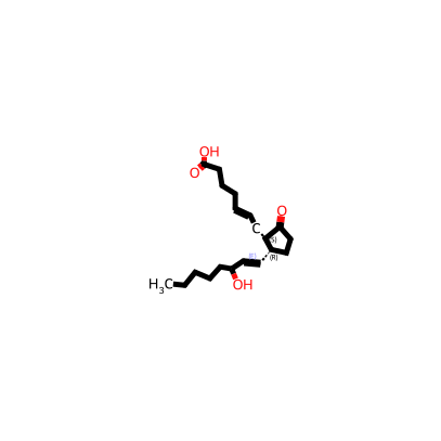 CCCCCC(O)/C=C/[C@H]1CCC(=O)[C@H]1CC=CCCCC(=O)O